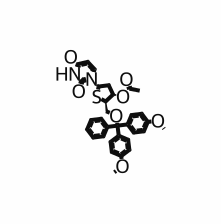 COc1ccc(C(OC[C@H]2S[C@@H](n3ccc(=O)[nH]c3=O)C[C@@H]2OC(C)=O)(c2ccccc2)c2ccc(OC)cc2)cc1